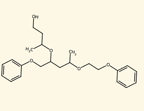 CC(CC(COc1ccccc1)OC(C)CCO)OCCOc1ccccc1